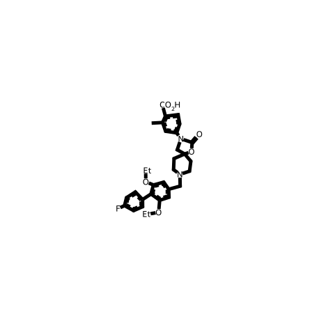 CCOc1cc(CN2CCC3(CC2)CN(c2ccc(C(=O)O)c(C)c2)C(=O)O3)cc(OCC)c1-c1ccc(F)cc1